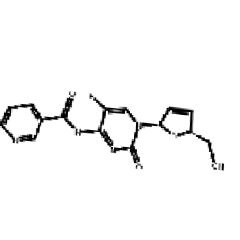 O=C(Nc1nc(=O)n([C@H]2C=C[C@@H](CO)O2)cc1F)c1cccnc1